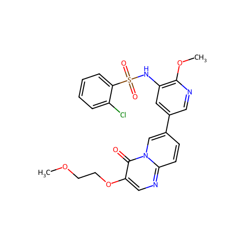 COCCOc1cnc2ccc(-c3cnc(OC)c(NS(=O)(=O)c4ccccc4Cl)c3)cn2c1=O